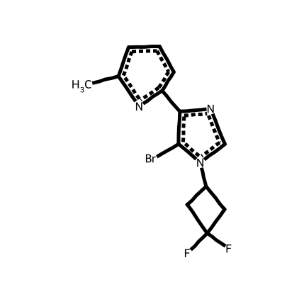 Cc1cccc(-c2ncn(C3CC(F)(F)C3)c2Br)n1